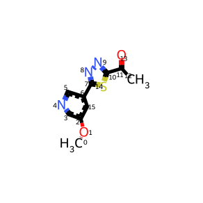 COc1cncc(-c2nnc(C(C)=O)s2)c1